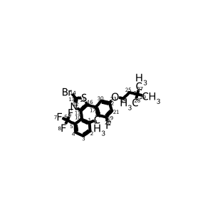 Cc1cccc(C(F)(F)F)c1-c1nc(Br)sc1-c1cc(F)cc(OCCC(C)(C)C)c1